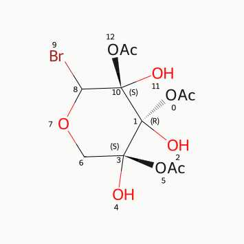 CC(=O)O[C@]1(O)[C@@](O)(OC(C)=O)COC(Br)[C@@]1(O)OC(C)=O